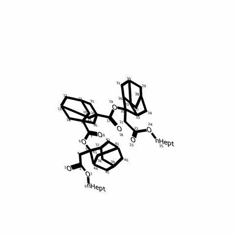 CCCCCCCOC(=O)CC1(OC(=O)C23CC4CC(C2)CC(C(=O)OC2(CC(=O)OCCCCCCC)C5CC6CC(C5)CC2C6)(C4)C3)C2CC3CC(C2)CC1C3